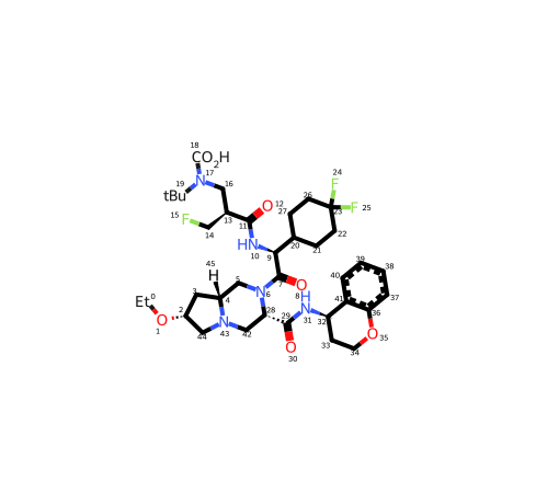 CCO[C@@H]1C[C@@H]2CN(C(=O)[C@@H](NC(=O)[C@@H](CF)CN(C(=O)O)C(C)(C)C)C3CCC(F)(F)CC3)[C@H](C(=O)N[C@@H]3CCOc4ccccc43)CN2C1